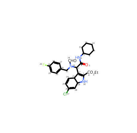 CCOC(=O)C1=C(C(C(=O)NC2CCCCC2)N(C=O)Cc2ccc(F)cc2)C2C=CC(Cl)=CC2N1